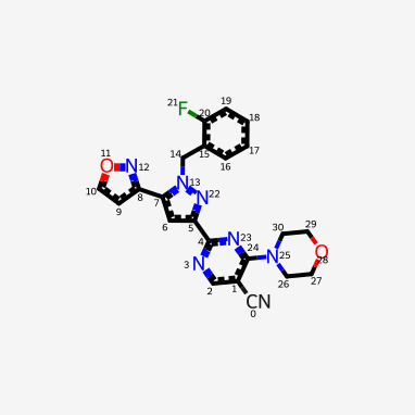 N#Cc1cnc(-c2cc(-c3ccon3)n(Cc3ccccc3F)n2)nc1N1CCOCC1